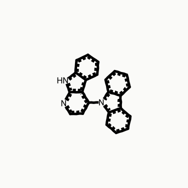 c1ccc2c(c1)[nH]c1nccc(-n3c4ccccc4c4ccccc43)c12